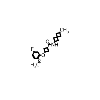 COc1ccc(F)cc1O[C@H]1C[C@H](C(=O)NC2CC3(CC(C)C3)C2)C1